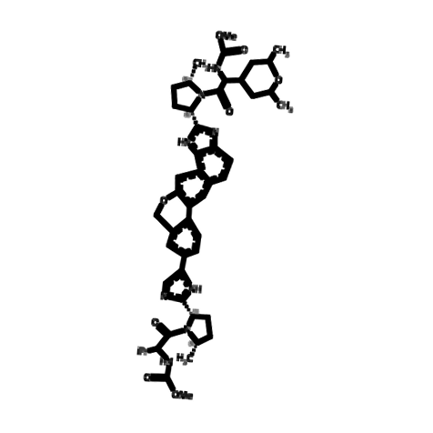 COC(=O)NC(C(=O)N1[C@@H](C)CC[C@H]1c1ncc(-c2ccc3c(c2)COc2cc4c(ccc5nc([C@@H]6CC[C@H](C)N6C(=O)C(NC(=O)OC)C6CC(C)OC(C)C6)[nH]c54)cc2-3)[nH]1)C(C)C